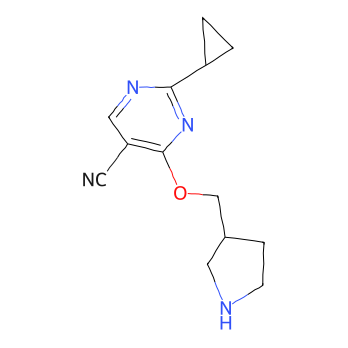 N#Cc1cnc(C2CC2)nc1OCC1CCNC1